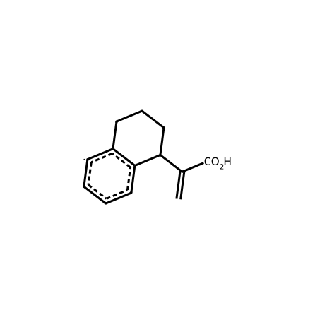 C=C(C(=O)O)C1CCCc2[c]cccc21